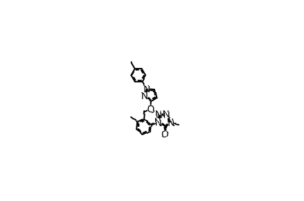 Cc1ccc(-n2ccc(OCc3c(C)cccc3-n3nnn(C)c3=O)n2)cc1